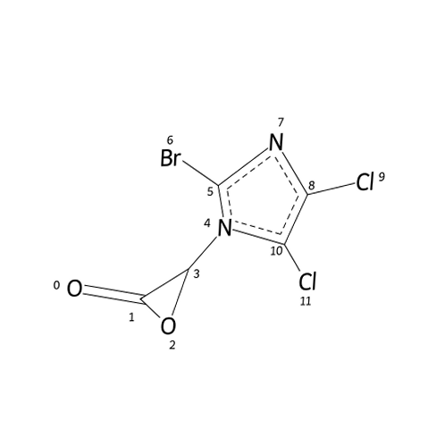 O=C1OC1n1c(Br)nc(Cl)c1Cl